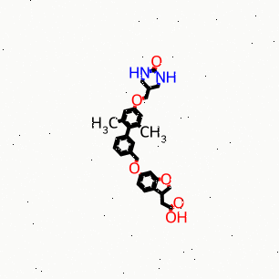 Cc1cc(OCC2CNC(=O)NC2)cc(C)c1-c1cccc(COc2ccc3c(c2)OCC3CC(=O)O)c1